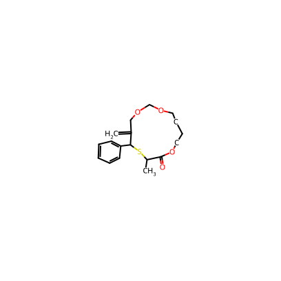 C=C1COCOCCCCOC(=O)C(C)SC1c1ccccc1